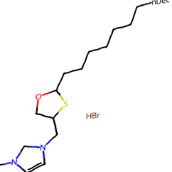 Br.CCCCCCCCCCCCCCCCCC1OCC(CN2C=CN(C)C2)S1